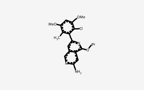 COc1cc(OC)c(Cl)c(-c2cc3cnc(N)cc3c(OC(C)C)n2)c1C